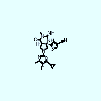 Cc1nc(N2C[C@H]3C(=O)N(C)C(=N)N[C@@]3(c3cc(C#N)cs3)C2)nc(C2CC2)c1F